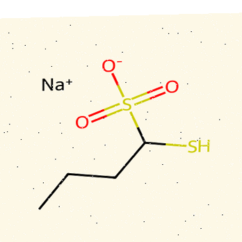 CCCC(S)S(=O)(=O)[O-].[Na+]